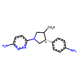 Nc1ccc([C@@H]2CN(c3ccc(N)nn3)CC2C(=O)O)cc1